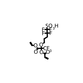 C=COC(=O)C(OCCCC(F)(F)C(F)(F)S(=O)(=O)O)(OC(=O)C=C)C(F)(F)F